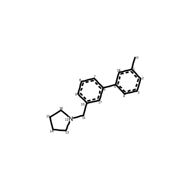 Cc1cccc(-c2cccc(CN3CCCC3)c2)c1